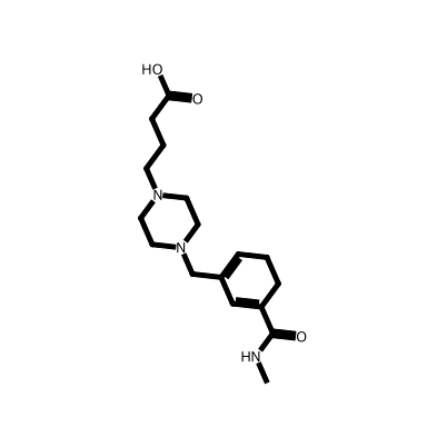 CNC(=O)C1=CC(CN2CCN(CCCC(=O)O)CC2)=CCC1